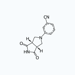 N#Cc1cccc(N2C[C@@H]3C(=O)NC(=O)[C@@H]3C2)c1